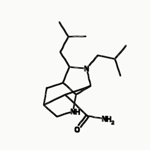 CC(C)CC1C2CC3CNC2C(C3C(N)=O)N1CC(C)C